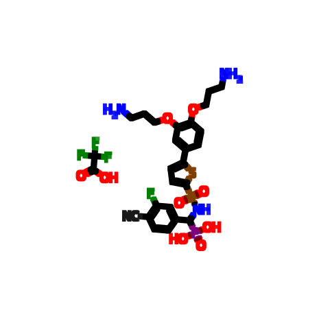 N#Cc1ccc(C(NS(=O)(=O)c2ccc(-c3ccc(OCCCN)c(OCCCN)c3)s2)P(=O)(O)O)cc1F.O=C(O)C(F)(F)F